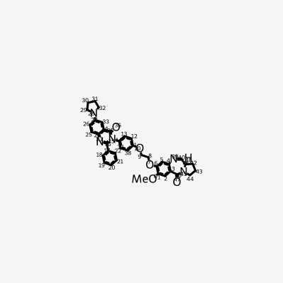 COc1cc2c(cc1OCCOc1ccc(-n3c(-c4ccccc4)nc4ccc(N5CCCC5)cc4c3=O)cc1)N=C[C@@H]1CCCN1C2=O